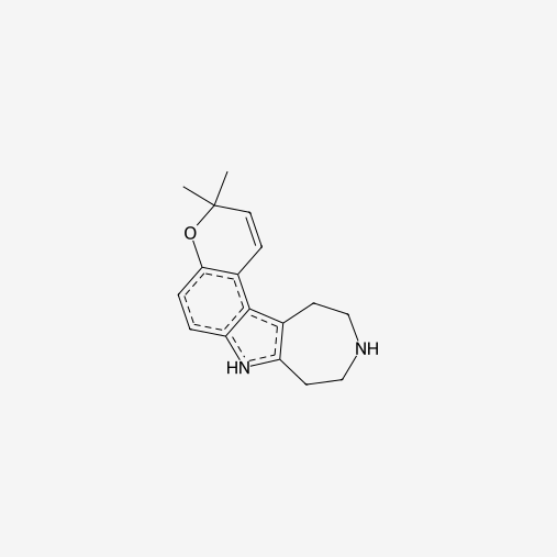 CC1(C)C=Cc2c(ccc3[nH]c4c(c23)CCNCC4)O1